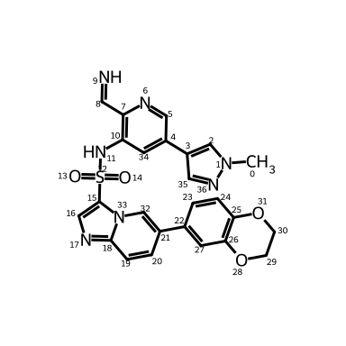 Cn1cc(-c2cnc(C=N)c(NS(=O)(=O)c3cnc4ccc(-c5ccc6c(c5)OCCO6)cn34)c2)cn1